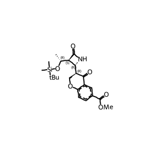 COC(=O)c1ccc2c(c1)C(=O)[C@H]([C@H]1NC(=O)[C@@H]1[C@@H](C)O[Si](C)(C)C(C)(C)C)CO2